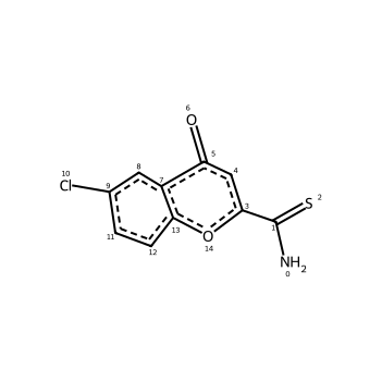 NC(=S)c1cc(=O)c2cc(Cl)ccc2o1